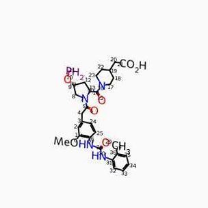 COc1cc(CC(=O)N2C[C@H](OP)C[C@H]2C(=O)N2CCC(CC(=O)O)CC2)ccc1NC(=O)Nc1ccccc1C